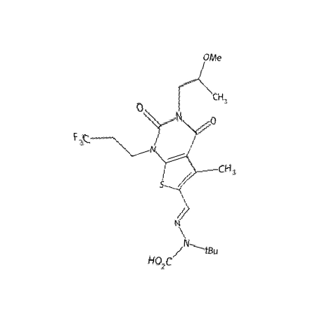 COC(C)Cn1c(=O)c2c(C)c(C=NN(C(=O)O)C(C)(C)C)sc2n(CCC(F)(F)F)c1=O